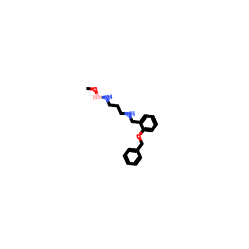 COBNCCCNCc1ccccc1OCc1ccccc1